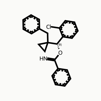 N=C(O[C@@H](c1ccccc1Cl)C1(Cc2ccccc2)CC1)c1ccccc1